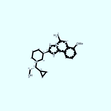 COc1cccc2c1nc(N)n1nc([C@@H]3CCCN([C@@H](CO)C4CC4)C3)nc21